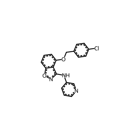 Clc1ccc(COc2cccc3onc(Nc4cccnc4)c23)cc1